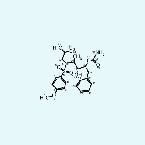 COc1ccc(S(=O)(=O)N(CC(C)C)C(C)[C@@H](O)[C@H](Cc2ccccc2)OC(N)=O)cc1